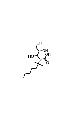 CCCCCC(C)(C)N(C(=O)O)C(O)C(O)CO